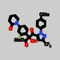 COC(=O)C(O)(C(=O)c1cc(C(F)(F)F)nn1-c1ccc(OC)cc1)c1ccc(-n2ccccc2=O)cc1F